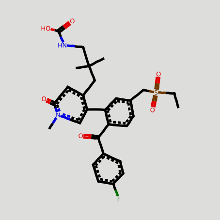 CCS(=O)(=O)Cc1ccc(C(=O)c2ccc(F)cc2)c(-c2cn(C)c(=O)cc2CC(C)(C)CNC(=O)O)c1